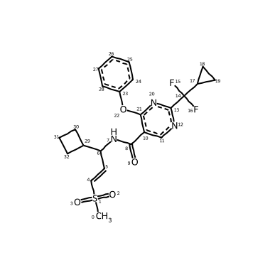 CS(=O)(=O)C=CC(NC(=O)c1cnc(C(F)(F)C2CC2)nc1Oc1ccccc1)C1CCC1